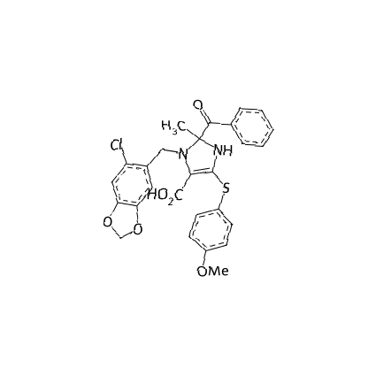 COc1ccc(SC2=C(C(=O)O)N(Cc3cc4c(cc3Cl)OCO4)C(C)(C(=O)c3ccccc3)N2)cc1